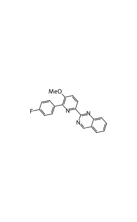 COc1ccc(-c2ncc3ccccc3n2)nc1-c1ccc(F)cc1